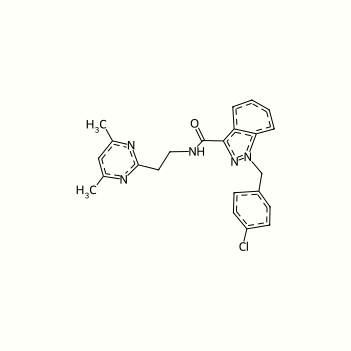 Cc1cc(C)nc(CCNC(=O)c2nn(Cc3ccc(Cl)cc3)c3ccccc23)n1